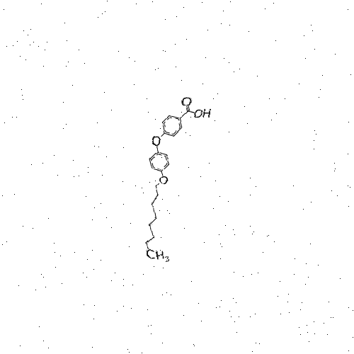 CCCCCCCCOc1ccc(Oc2ccc(C(=O)O)cc2)cc1